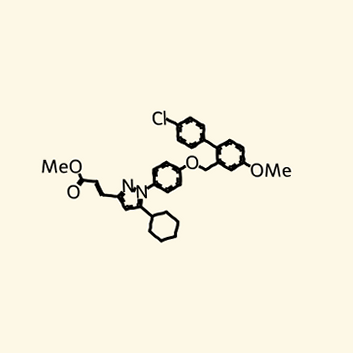 COC(=O)/C=C/c1cc(C2CCCCC2)n(-c2ccc(OCc3cc(OC)ccc3-c3ccc(Cl)cc3)cc2)n1